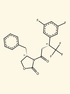 O=C(C[C@H](c1cc(F)cc(F)c1)C(F)(F)F)N1C(=O)OC[C@@H]1Cc1ccccc1